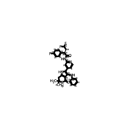 CC1(C)Cc2[nH]c(-c3ccnc(NC(=O)[C@H](CC(F)F)c4ccc(F)cc4)c3)c(Nc3ccccc3)c2C(=O)N1